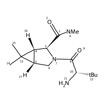 CNC(=O)[C@@H]1[C@@H]2[C@H](CN1C(=O)[C@@H](N)C(C)(C)C)C2(C)C